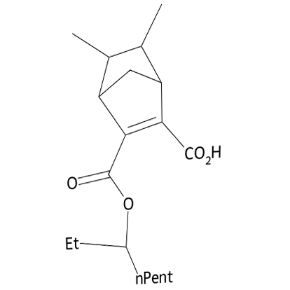 CCCCCC(CC)OC(=O)C1=C(C(=O)O)C2CC1C(C)C2C